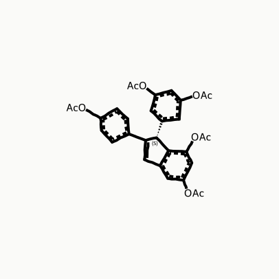 CC(=O)Oc1ccc(C2=Cc3cc(OC(C)=O)cc(OC(C)=O)c3[C@H]2c2cc(OC(C)=O)cc(OC(C)=O)c2)cc1